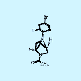 CC(=O)N1C[C@@H]2C[C@H]1CN2c1ccc(Br)cc1F